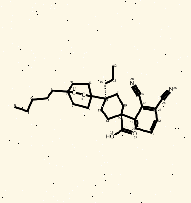 CCCCCC12CCC([C@]3(CCC)CC[C@@](C(=O)O)(c4cccc(C#N)c4C#N)CC3)(CC1)CC2